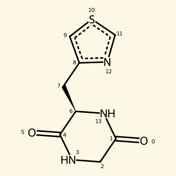 O=C1CNC(=O)[C@@H](Cc2cscn2)N1